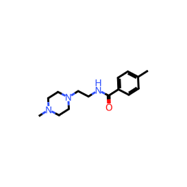 Cc1ccc(C(=O)NCCN2CCN(C)CC2)cc1